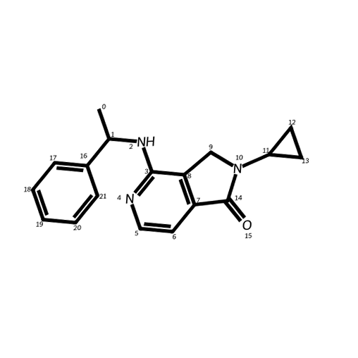 CC(Nc1nccc2c1CN(C1CC1)C2=O)c1ccccc1